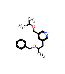 CC(C)OCc1cncc(CC(C)OCc2ccccc2)c1